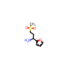 CS(=O)(=O)CCC(N)c1cc[c]o1